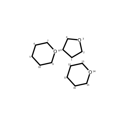 C1CCOC1.C1CCOCC1.C1CCOCC1